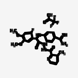 COc1cc(F)c(C(Nc2ccc(C(=N)N)cc2)C(=O)NNC(=O)c2ncccc2C)cc1OC.O=C(O)C(F)(F)F